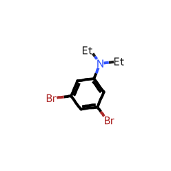 CCN(CC)c1cc(Br)cc(Br)c1